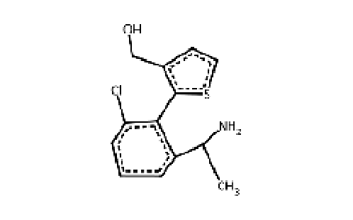 CC(N)c1cccc(Cl)c1-c1sccc1CO